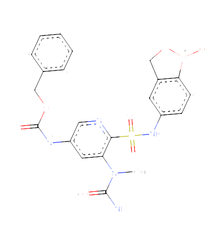 CC(C)(C)N(C(N)=O)c1cc(NC(=O)OCc2ccccc2)cnc1S(=O)(=O)Nc1ccc2c(c1)COB2O